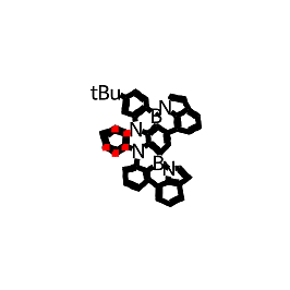 CC(C)(C)c1ccc2c(c1)N(c1ccccc1)c1c3c(cc4c1N(c1ccccc1)c1cccc5c1B4n1ccc4cccc-5c41)-c1cccc4ccn(c14)B23